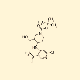 CC(C)(C)OC(=O)N1CC[C@@H](Nc2cc(Cl)ncc2C(N)=O)[C@@H](CO)C1